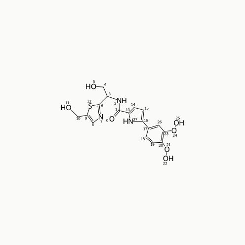 O=C(NC(CO)c1ncc(CO)s1)c1ccc(-c2ccc(OO)c(OO)c2)[nH]1